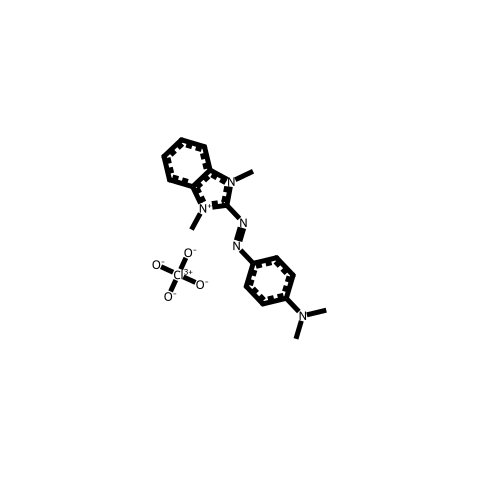 CN(C)c1ccc(N=Nc2n(C)c3ccccc3[n+]2C)cc1.[O-][Cl+3]([O-])([O-])[O-]